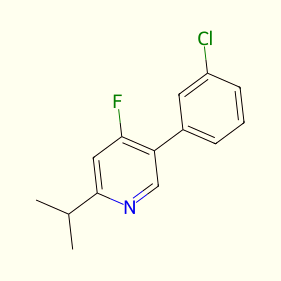 CC(C)c1cc(F)c(-c2cccc(Cl)c2)cn1